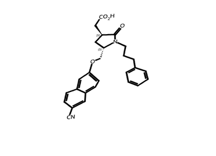 N#Cc1ccc2cc(OC[C@@H]3C[C@@H](CC(=O)O)C(=O)N3CCCc3ccccc3)ccc2c1